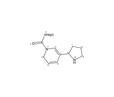 CCCCCCCC(=O)N1C=C(C2CCCN2)C=CC1